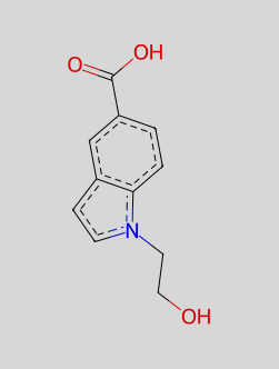 O=C(O)c1ccc2c(ccn2CCO)c1